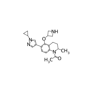 CC(=O)N1c2ccc(-c3cnn(C4CC4)c3)c(OC3CNC3)c2CCC1C